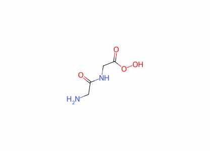 NCC(=O)NCC(=O)OO